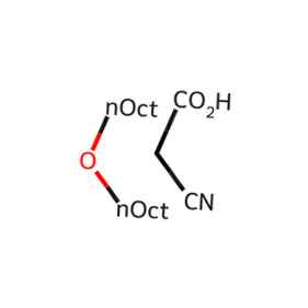 CCCCCCCCOCCCCCCCC.N#CCC(=O)O